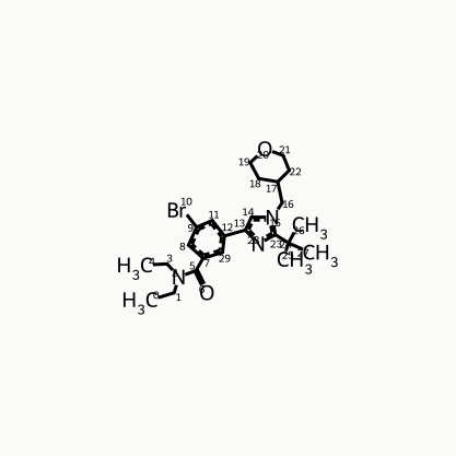 CCN(CC)C(=O)c1cc(Br)cc(-c2cn(CC3CCOCC3)c(C(C)(C)C)n2)c1